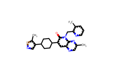 Cc1cnc2cc(C3CCC(c4cnsc4C)CC3)c(=O)n(Cc3ncccc3C(F)(F)F)c2n1